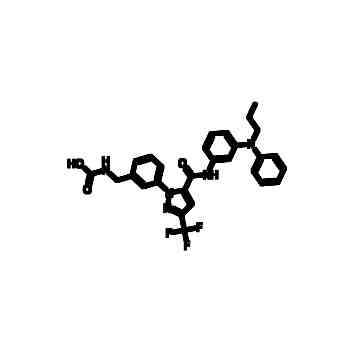 CCCN(c1ccccc1)c1cccc(NC(=O)c2cc(C(F)(F)F)nn2-c2cccc(CNC(=O)O)c2)c1